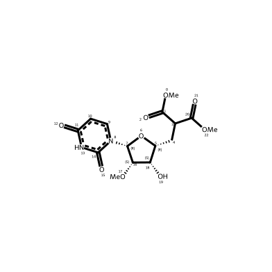 COC(=O)C(C[C@H]1O[C@@H](n2ccc(=O)[nH]c2=O)[C@@H](OC)[C@H]1O)C(=O)OC